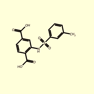 Cc1cccc(S(=O)(=O)Nc2cc(C(=O)O)ccc2C(=O)O)c1